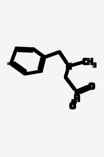 CN(Cc1cc[c]cc1)C[SH](=O)=O